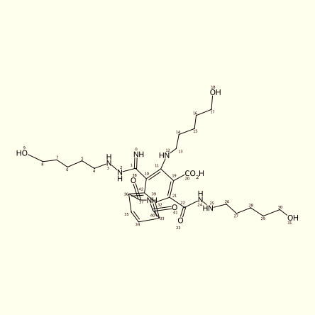 N=C(NNCCCCCO)c1c(NCCCCCO)c(C(=O)O)c(C(=O)NNCCCCCO)c2c3ccc(c(=O)[nH]c3=O)c12